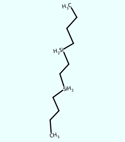 CCCC[SiH2]CC[SiH2]CCCC